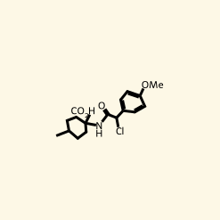 COc1ccc(C(Cl)C(=O)NC2(C(=O)O)CCC(C)CC2)cc1